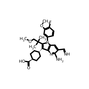 COCC(C)(C)c1c([C@H]2CC[C@H](C(=O)O)CC2)c2nc(N)c(C=N)cc2n1-c1ccc(F)c(OC)c1